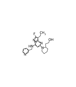 CCc1c(F)nn2c(NCc3cccnc3)cc(N3CCCCC3CCO)nc12